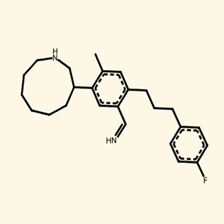 Cc1cc(CCCc2ccc(F)cc2)c(C=N)cc1C1CCCCCCNC1